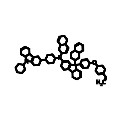 C=CC1=CCC(OC2C=CC(C3(C4CCC5C=CC=CC5C4)C4=C(CCC(N(C5C=CC6CCC=CC6C5)C5CCC(C6CCC7=C(C6)C6CC=CCC6N7C6CCCCC6)CC5)=C4)C4CCC=CC43)=CC2)CC1